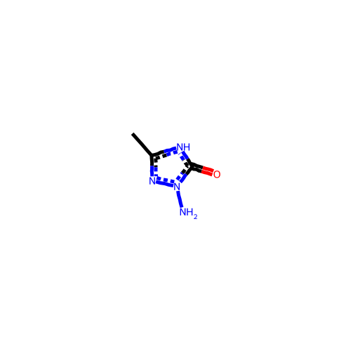 Cc1nn(N)c(=O)[nH]1